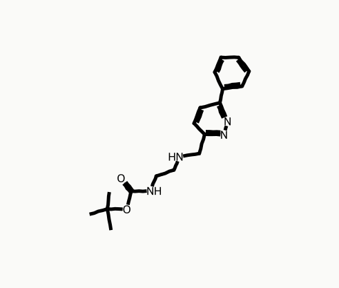 CC(C)(C)OC(=O)NCCNCc1ccc(-c2ccccc2)nn1